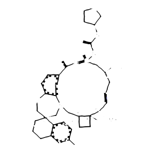 CO[C@H]1/C=C/C[C@H](C)CS(=O)(NC(=O)N[C@H]2CCOC2)=NC(=O)c2ccc3c(c2)N(C[C@@H]2CC[C@H]21)C[C@@]1(CCCc2cc(Cl)ccc21)CO3